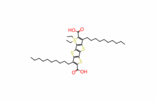 CCCCCCCCCCC1=C(C(=O)O)S(CC)(CC)c2c1sc1c2sc2c(CCCCCCCCCC)c(C(=O)O)sc21